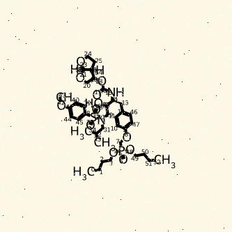 CCCCOP(=O)(COc1ccc(C[C@H](NC(=O)O[C@H]2CO[C@H]3OCC[C@H]32)[C@H](O)CN(CC(C)C)S(=O)(=O)c2ccc(OC)cc2)cc1)OCCCC